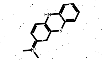 C[N+](C)=C1C=CC2=C(C1)Sc1ccccc1N2